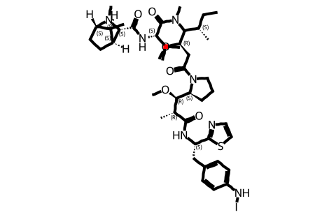 CC[C@H](C)C([C@@H](CC(=O)N1CCC[C@H]1[C@H](OC)[C@@H](C)C(=O)N[C@@H](Cc1ccc(NI)cc1)c1nccs1)OC)N(C)C(=O)[C@@H](NC(=O)[C@@H]1[C@H]2CC[C@@H]([C@H]2C)N1C)C(C)C